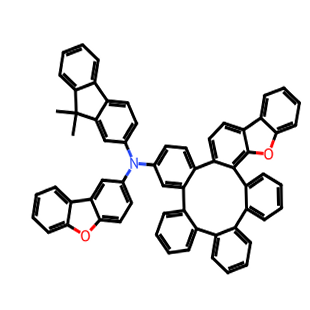 CC1(C)c2ccccc2-c2ccc(N(c3ccc4oc5ccccc5c4c3)c3ccc4c(c3)c3ccccc3c3ccccc3c3ccccc3c3c4ccc4c5ccccc5oc43)cc21